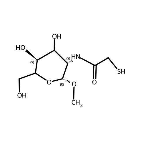 CO[C@@H]1OC(CO)[C@@H](O)C(O)[C@@H]1NC(=O)CS